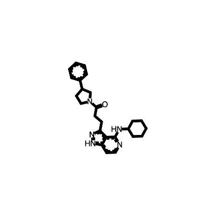 O=C(CCc1n[nH]c2ccnc(NC3CCCCC3)c12)N1CCC(c2ccccc2)C1